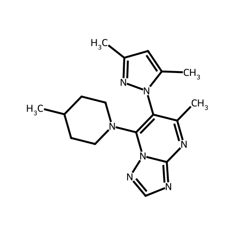 Cc1cc(C)n(-c2c(C)nc3ncnn3c2N2CCC(C)CC2)n1